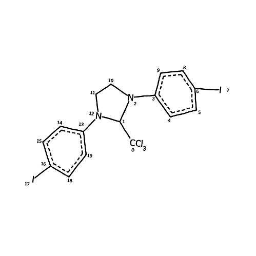 ClC(Cl)(Cl)C1N(c2ccc(I)cc2)CCN1c1ccc(I)cc1